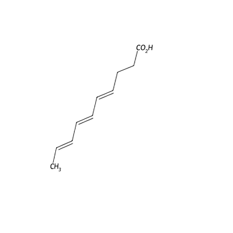 CC=CC=CC=CCCC(=O)O